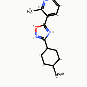 CCCCCC1CCC(c2noc(-c3cccnc3C)n2)CC1